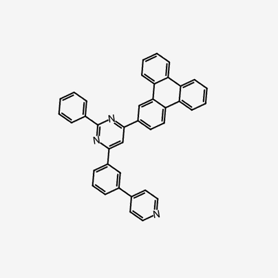 c1ccc(-c2nc(-c3cccc(-c4ccncc4)c3)cc(-c3ccc4c5ccccc5c5ccccc5c4c3)n2)cc1